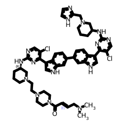 CN(C)C/C=C/C(=O)N1CCN(CCN2CCC[C@@H](Nc3ncc(Cl)c(-c4c[nH]c5cc(-c6ccc7c(-c8nc(NC9CCCN(Cc%10ncc[nH]%10)C9)ncc8Cl)c[nH]c7c6)ccc45)n3)C2)CC1